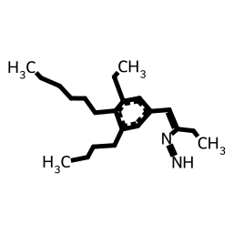 CCCCCCc1c(CC)cc(C=C(CC)N=N)cc1CCCC